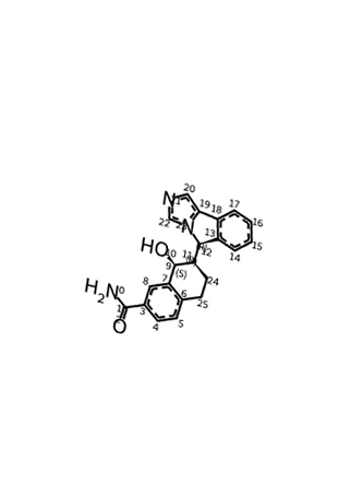 NC(=O)c1ccc2c(c1)[C@@H](O)[C@@H]([C@@H]1c3ccccc3-c3cncn31)CC2